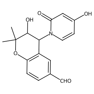 CC1(C)Oc2ccc(C=O)cc2C(n2ccc(O)cc2=O)C1O